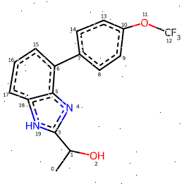 CC(O)c1nc2c(-c3ccc(OC(F)(F)F)cc3)cccc2[nH]1